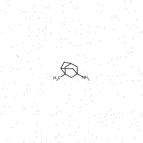 CC12CC3CC1CC(N)(C3)C2